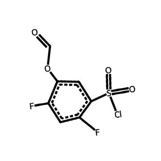 O=COc1cc(S(=O)(=O)Cl)c(F)cc1F